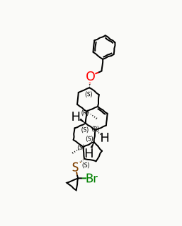 C[C@]12CC[C@H]3[C@@H](CC=C4C[C@@H](OCc5ccccc5)CC[C@@]43C)[C@@H]1CC[C@@H]2SC1(Br)CC1